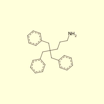 NCCCC(Cc1ccccc1)(Cc1ccccc1)Cc1ccccc1